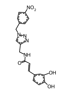 O=C(/C=C/c1ccc(O)c(O)c1)NCc1cn(Cc2ccc([N+](=O)[O-])cc2)nn1